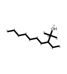 CCCCCCCC(CC)C(C)(C)O